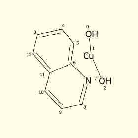 [OH][Cu][OH].c1ccc2ncccc2c1